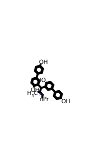 CCC/C=C(\C)C(c1cc(-c2ccc(O)cc2)ccc1O)c1cc(-c2ccc(O)cc2)ccc1O